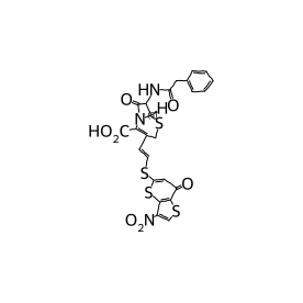 O=C(Cc1ccccc1)NC1C(=O)N2C(C(=O)O)=C(C=CSc3cc(=O)c4scc([N+](=O)[O-])c4s3)CS[C@@H]12